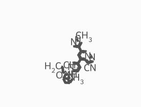 C=C(C)C(=O)NC1(C)C2CC1CN(c1ccc(-c3cc(-c4cnn(C)c4)cn4ncc(C#N)c34)cn1)C2